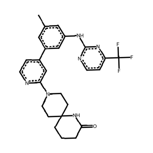 Cc1cc(Nc2nccc(C(F)(F)F)n2)cc(-c2ccnc(N3CCC4(CCCC(=O)N4)CC3)c2)c1